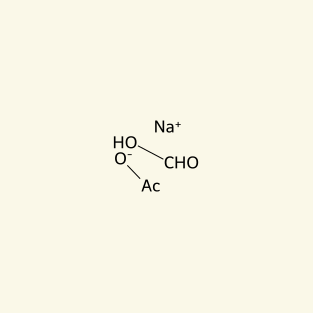 CC(=O)[O-].O=CO.[Na+]